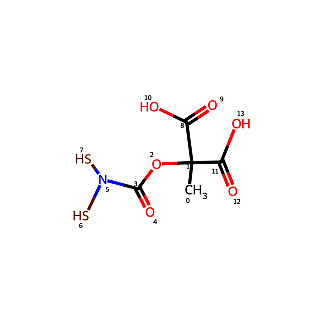 CC(OC(=O)N(S)S)(C(=O)O)C(=O)O